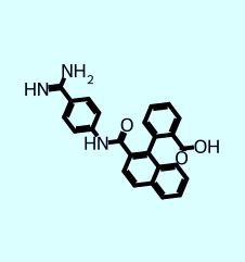 N=C(N)c1ccc(NC(=O)c2ccc3ccccc3c2-c2ccccc2C(=O)O)cc1